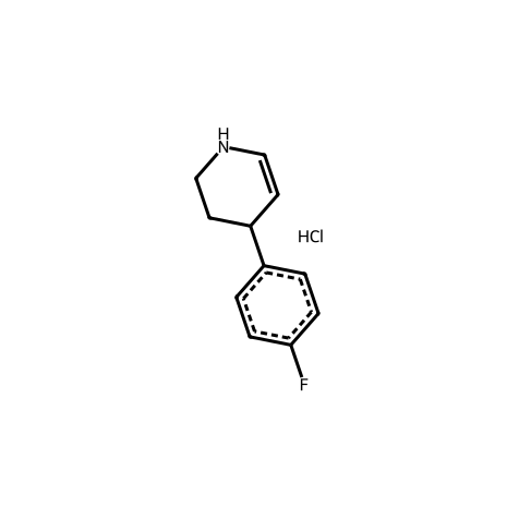 Cl.Fc1ccc(C2C=CNCC2)cc1